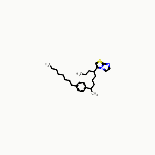 CCCCCCCCc1ccc(C(C)CCCC(CCC)c2csc3nccn23)cc1